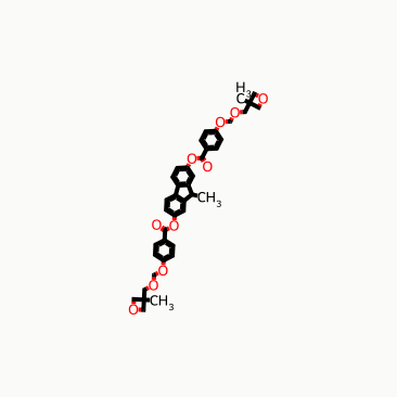 CC1c2cc(OC(=O)c3ccc(OCOCC4(C)COC4)cc3)ccc2-c2ccc(OC(=O)c3ccc(OCOCC4(C)COC4)cc3)cc21